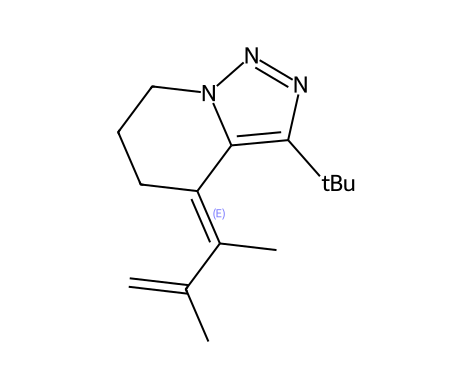 C=C(C)/C(C)=C1\CCCn2nnc(C(C)(C)C)c21